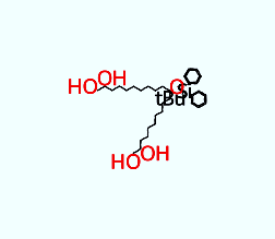 CC(C)(C)[Si](OC(CCCCCCCCC(O)CO)CCCCCCCCC(O)CO)(c1ccccc1)c1ccccc1